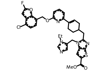 CCn1cncc1Cn1c(CC2CC=C(c3cccc(OCc4ccc(Cl)c5cc(F)oc45)n3)CC2)nc2sc(C(=O)OC)cc21